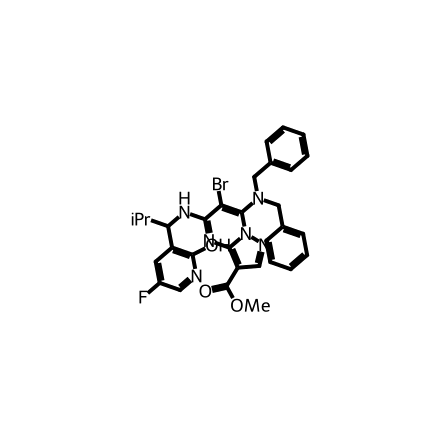 COC(=O)c1cnn2c(N(Cc3ccccc3)Cc3ccccc3)c(Br)c(NC(c3cc(F)cnc3O)C(C)C)nc12